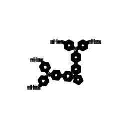 CCCCCCC1=CCC(N(C2=CCC(CCCCCC)C=C2)c2ccc(C3=CC=C(C4(c5ccc(-c6ccc(N(c7ccc(CCCCCC)cc7)c7ccc(CCCCCC)cc7)cc6)cc5)CCCC4)CC3)cc2)C=C1